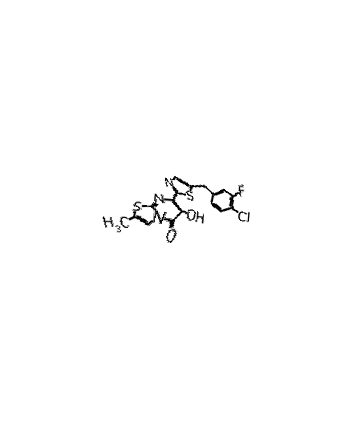 Cc1cn2c(=O)c(O)c(-c3ncc(Cc4ccc(Cl)c(F)c4)s3)nc2s1